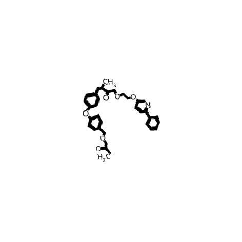 CCC(=O)COCc1ccc(Oc2ccc(CC(C)C(=O)COCCOc3ccc(-c4ccccc4)nc3)cc2)cc1